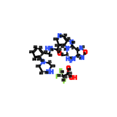 CCn1c(-c2nonc2N)nc2cncc(C(=O)NCc3ccccc3N3CCNCC3)c21.O=C(O)C(F)(F)F